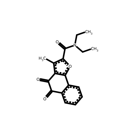 CCN(CC)C(=O)c1oc2c(c1C)C(=O)C(=O)c1ccccc1-2